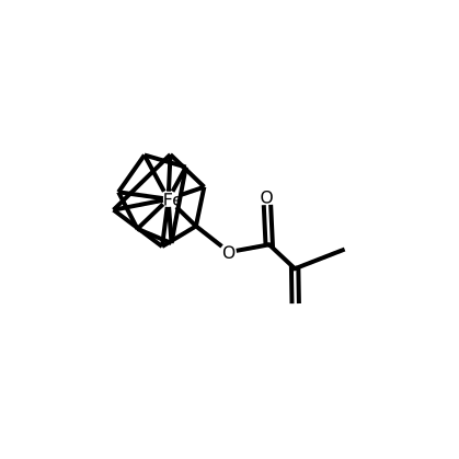 C=C(C)C(=O)O[C]12[CH]3[CH]4[CH]5[CH]1[Fe]45321678[CH]2[CH]1[CH]6[CH]7[CH]28